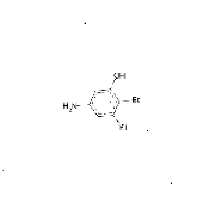 CCc1cc(N)cc(O)c1CC